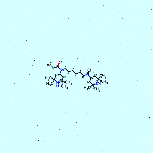 CC(=O)CC(=O)N(CCCCCCN(C)C1CC(C)(C)NC(C)(C)C1)C1CC(C)(C)NC(C)(C)C1